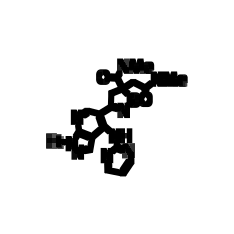 CCn1ncc2c(Nc3ncccn3)c(C3=NOC(CC(=O)NC)(C(=O)NC)C3)cnc21